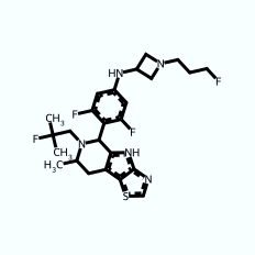 CC1Cc2c([nH]c3ncsc23)C(c2c(F)cc(NC3CN(CCCF)C3)cc2F)N1CC(C)(C)F